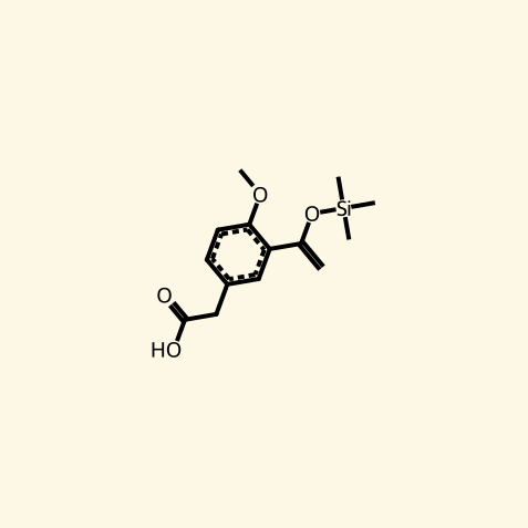 C=C(O[Si](C)(C)C)c1cc(CC(=O)O)ccc1OC